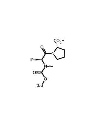 CC(C)[C@@H](C(=O)N1CCC[C@H]1C(=O)O)N(C)C(=O)OC(C)(C)C